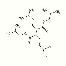 CC(C)CCC(C(=O)OCC(C)C)C(CCC(C)C)C(=O)OCC(C)C